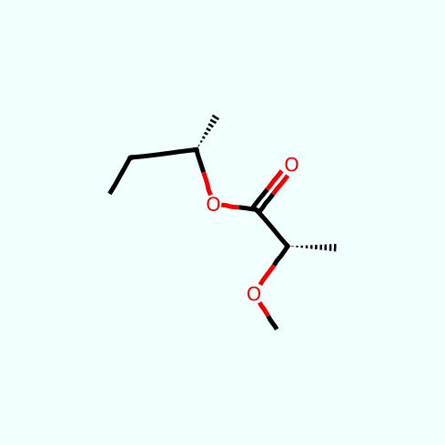 CC[C@H](C)OC(=O)[C@H](C)OC